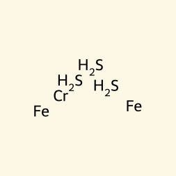 S.S.S.[Cr].[Fe].[Fe]